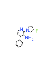 Nc1c(-c2ccccc2)ccnc1N1CC[C@H](F)C1